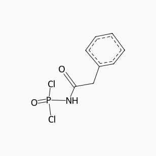 O=C(Cc1ccccc1)NP(=O)(Cl)Cl